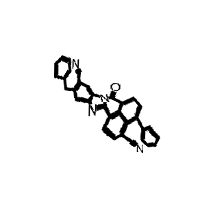 N#Cc1cc2c(cc1Cc1ccccc1)nc1c3ccc(C#N)c4c(-c5ccccc5)ccc(c(=O)n21)c43